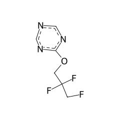 FCC(F)(F)COc1ncncn1